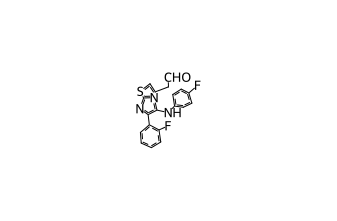 O=CCc1csc2nc(-c3ccccc3F)c(Nc3ccc(F)cc3)n12